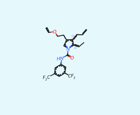 C=C/C=c1/c(CCOC=C)cn(C(=O)Nc2cc(C(F)(F)F)cc(C(F)(F)F)c2)/c1=C/C